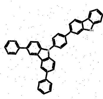 c1ccc(-c2ccc3c(c2)c2cc(-c4ccccc4)ccc2n3-c2ccc(-c3ccc4c(c3)[nH]c3ccccc34)cc2)cc1